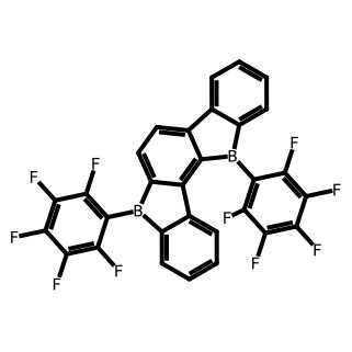 Fc1c(F)c(F)c(B2c3ccccc3-c3c2ccc2c3B(c3c(F)c(F)c(F)c(F)c3F)c3ccccc3-2)c(F)c1F